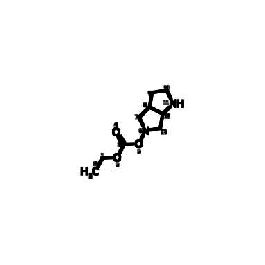 CCOC(=O)ON1CC2CCNC2C1